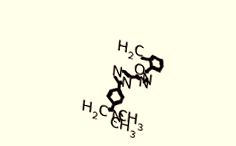 C=Cc1ccccc1-c1nnc(-c2cncc(-c3ccc(C(=C)N(C)C)cc3)n2)o1